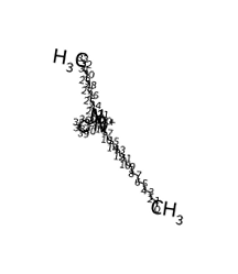 CCCCCCCCCCCCCCCCCCC[n+]1ccn(CCCCCCCCCCC)c1-c1ccccc1